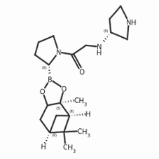 CC1(C)[C@H]2CC3OB([C@@H]4CCCN4C(=O)CN[C@@H]4CCNC4)O[C@@]3(C)[C@@H]1C2